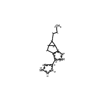 CCCC1C2Cc3c(n[nH]c3-c3nn[nH]n3)C12